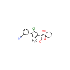 Cc1cc(-c2cccc(C#N)c2)c(Cl)cc1C1=C(O)C2(CCCCC2)OC1=O